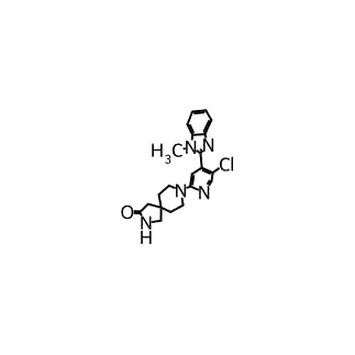 Cn1c(-c2cc(N3CCC4(CC3)CNC(=O)C4)ncc2Cl)nc2ccccc21